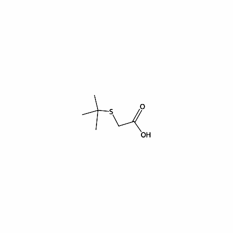 CC(C)(C)SCC(=O)O